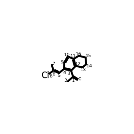 C=C(C)c1c(/C=C(\C)Cl)ccc2c1CCCC2